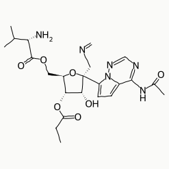 C=NC[C@@]1(c2ccc3c(NC(C)=O)ncnn23)O[C@H](COC(=O)[C@@H](N)C(C)C)[C@@H](OC(=O)CC)[C@H]1O